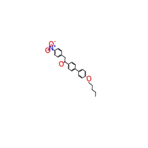 CCCCCOc1ccc(-c2ccc(C(=O)Cc3ccc([N+](=O)[O-])cc3)cc2)cc1